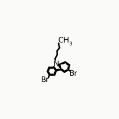 CCCCCCn1c2ccc(Br)cc2c2cc(Br)ccc21